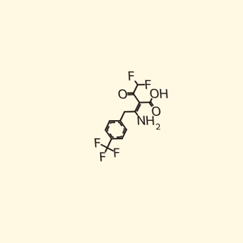 N/C(Cc1ccc(C(F)(F)F)cc1)=C(\C(=O)O)C(=O)C(F)F